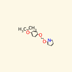 CC(C)Oc1ccc(OCCOc2ccccn2)cc1